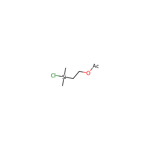 CC(=O)OCC[Si](C)(C)Cl